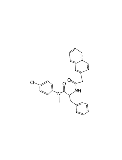 CN(C(=O)C(Cc1ccccc1)NC(=O)Cc1ccc2ccccc2c1)c1ccc(Cl)cc1